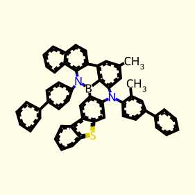 Cc1cc2c3c(c1)N(c1ccc(-c4ccccc4)cc1C)c1cc4sc5ccccc5c4cc1B3N(c1ccc(-c3ccccc3)cc1)c1c-2ccc2ccccc12